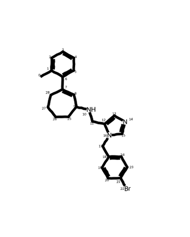 Cc1ccccc1C1=CC(NCc2cncn2Cc2ccc(Br)cc2)CCCC1